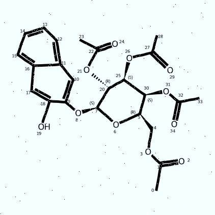 CC(=O)OC[C@H]1O[C@@H](Oc2cc3ccccc3cc2O)[C@H](OC(C)=O)[C@@H](OC(C)=O)[C@H]1OC(C)=O